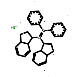 C1=CC2CC[CH]([Zr]([CH]3CCC4C=CC=CC43)=[Si](c3ccccc3)c3ccccc3)C2C=C1.Cl